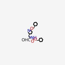 O=C/C(=C/c1ccc(OCc2ccccc2)nc1)NC(=O)OCc1ccccc1